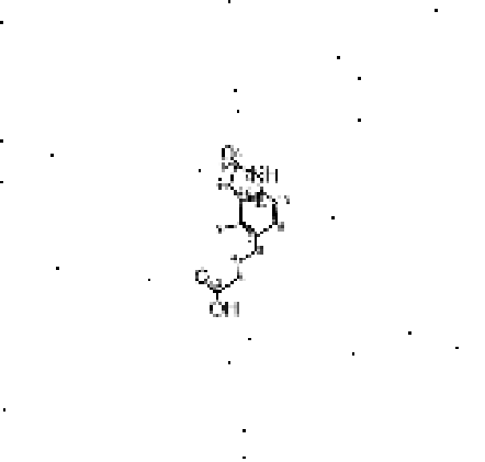 Cc1c(CCCC(=O)O)ccc2c1CC(=O)N2